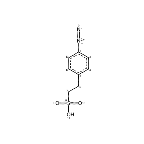 [N-]=[N+2]c1ccc(CCS(=O)(=O)O)cc1